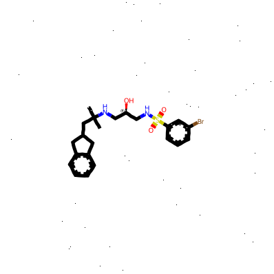 CC(C)(CC1Cc2ccccc2C1)NC[C@@H](O)CNS(=O)(=O)c1cccc(Br)c1